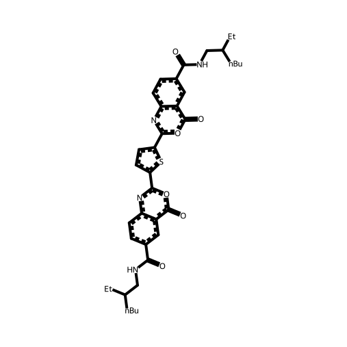 CCCCC(CC)CNC(=O)c1ccc2nc(-c3ccc(-c4nc5ccc(C(=O)NCC(CC)CCCC)cc5c(=O)o4)s3)oc(=O)c2c1